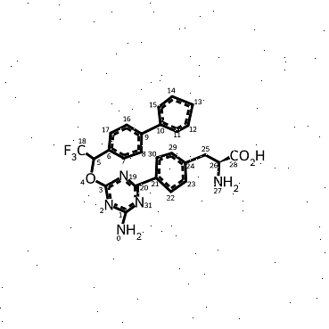 Nc1nc(OC(c2ccc(-c3ccccc3)cc2)C(F)(F)F)nc(-c2ccc(C[C@H](N)C(=O)O)cc2)n1